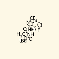 CC(NC(=O)OC(C)(C)C)C(=O)Nc1cnc(C(F)(F)F)c(Cl)c1C(=O)c1c(F)cccc1F